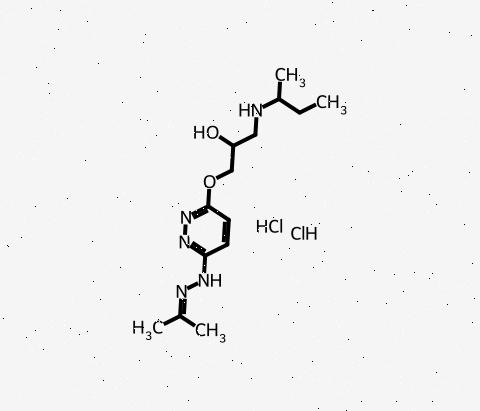 CCC(C)NCC(O)COc1ccc(NN=C(C)C)nn1.Cl.Cl